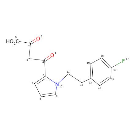 O=C(O)C(=O)CC(=O)c1cccn1CCc1ccc(F)cc1